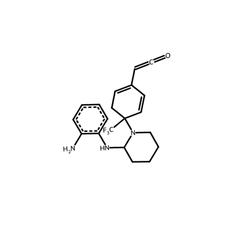 Nc1ccccc1NC1CCCCN1C1(C(F)(F)F)C=CC(C=C=O)=CC1